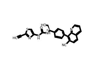 C#Cc1nc(NC(=O)N[C@@H](CO)c2ccc(-c3c(C#N)ccc4cccnc34)cc2)cs1